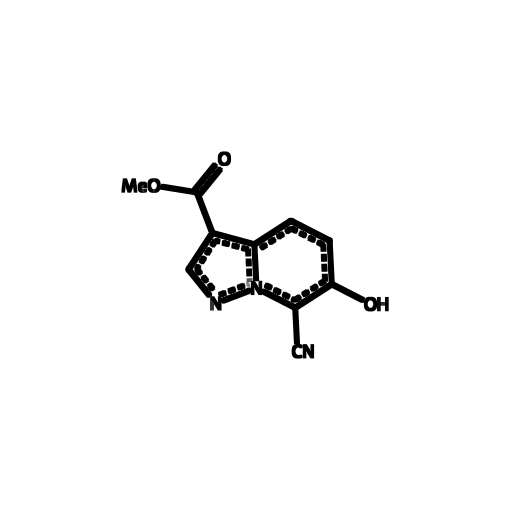 COC(=O)c1cnn2c(C#N)c(O)ccc12